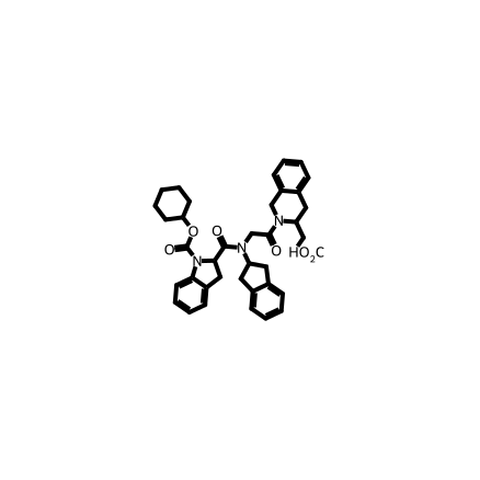 O=C(O)CC1Cc2ccccc2CN1C(=O)CN(C(=O)C1Cc2ccccc2N1C(=O)OC1CCCCC1)C1Cc2ccccc2C1